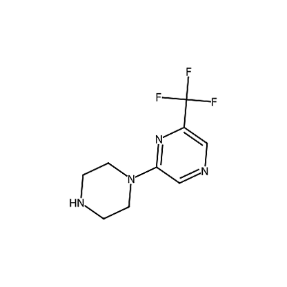 FC(F)(F)c1cncc(N2CCNCC2)n1